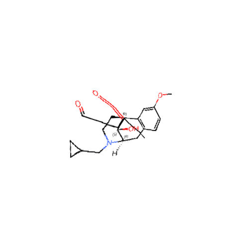 COc1ccc2c(c1)[C@]13CCN(CC4CC4)[C@H](C2)[C@]1(O)CC(C=O)C(=O)C3